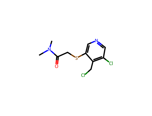 CN(C)C(=O)CSc1cncc(Cl)c1CCl